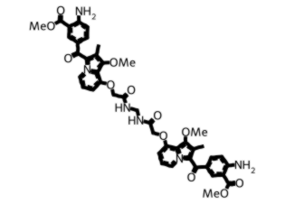 COC(=O)c1cc(C(=O)c2c(C)c(OC)c3c(OCC(=O)NCNC(=O)COc4cccn5c(C(=O)c6ccc(N)c(C(=O)OC)c6)c(C)c(OC)c45)cccn23)ccc1N